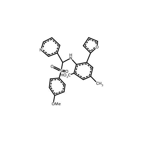 COc1ccc(S(=O)(=O)C(Nc2c(C(=O)O)cc(C)cc2-c2ccco2)c2cccnc2)cc1